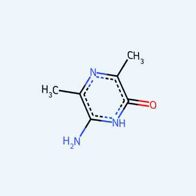 Cc1nc(C)c(=O)[nH]c1N